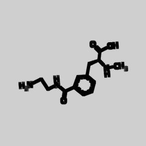 CN[C@@H](Cc1cccc(C(=O)NCCN)c1)C(=O)O